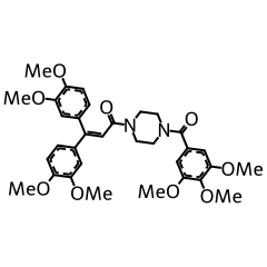 COc1ccc(C(=CC(=O)N2CCN(C(=O)c3cc(OC)c(OC)c(OC)c3)CC2)c2ccc(OC)c(OC)c2)cc1OC